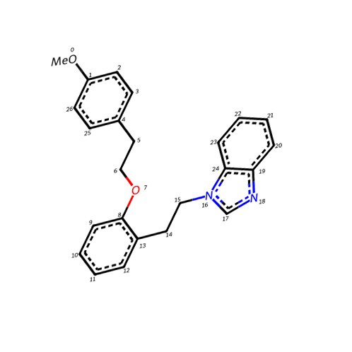 COc1ccc(CCOc2ccccc2CCn2cnc3ccccc32)cc1